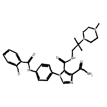 CN1CCN(C(C)(C)CNC(=O)c2c(C(N)=O)ncn2-c2ccc(NC(=O)c3ccccc3Cl)cc2)CC1